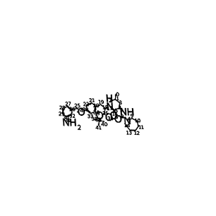 CC(C)CC(NC(=O)N1CCCCCC1)C(=O)NC(Cc1ccc(OCc2cccc(N)c2)cc1)C(=O)OC(C)(C)C